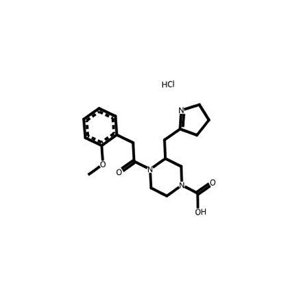 COc1ccccc1CC(=O)N1CCN(C(=O)O)CC1CC1=NCCC1.Cl